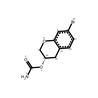 NC(=O)O[C@@H]1COc2cc(Br)ccc2C1